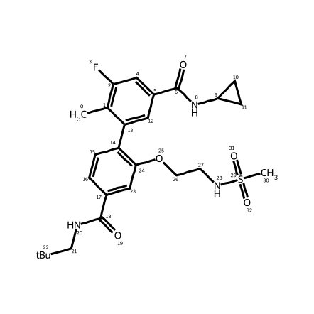 Cc1c(F)cc(C(=O)NC2CC2)cc1-c1ccc(C(=O)NCC(C)(C)C)cc1OCCNS(C)(=O)=O